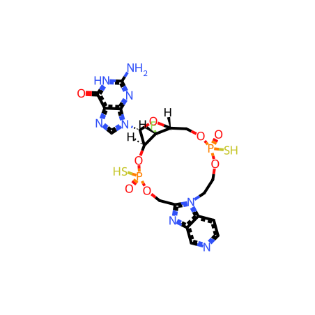 Nc1nc2c(ncn2[C@@H]2O[C@@H]3COP(=O)(S)OCCn4c(nc5cnccc54)COP(=O)(S)O[C@@H]2[C@@H]3F)c(=O)[nH]1